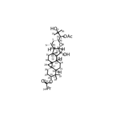 CC(=O)O[C@@H]([C@H]1C[C@@H](C)[C@H]2[C@H](O1)[C@H](O)[C@@]1(C)[C@@H]3CC[C@H]4C(C)(C)[C@@H](OC(=O)C(C)C)CC[C@@]45C[C@@]35CC[C@]21C)C(C)(C)O